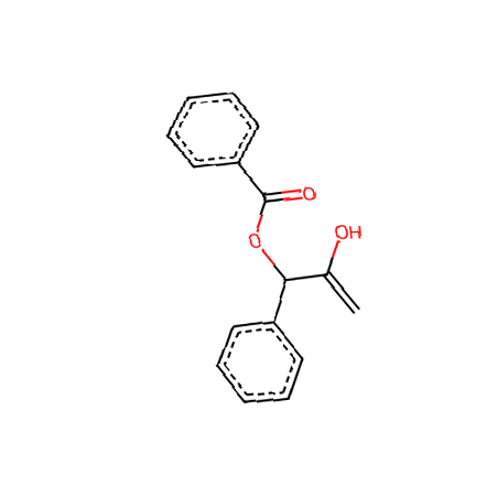 C=C(O)C(OC(=O)c1ccccc1)c1ccccc1